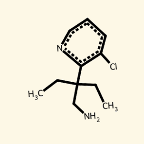 CCC(CC)(CN)c1ncccc1Cl